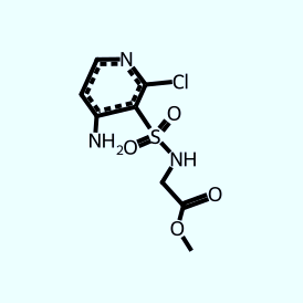 COC(=O)CNS(=O)(=O)c1c(N)ccnc1Cl